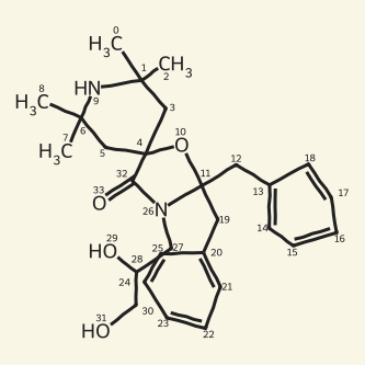 CC1(C)CC2(CC(C)(C)N1)OC(Cc1ccccc1)(Cc1ccccc1)N(CC(O)CO)C2=O